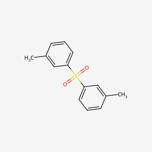 Cc1cccc(S(=O)(=O)c2cccc(C)c2)c1